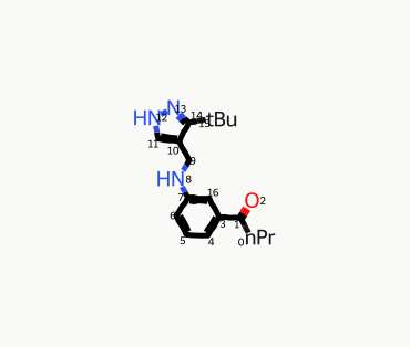 CCCC(=O)c1cccc(NCc2c[nH]nc2C(C)(C)C)c1